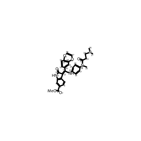 COC(=O)c1ccc2c(c1)NC(=O)C2=C(Nc1ccc(N(C)C(=O)CCN(C)C)cc1)c1ccc2c(c1)OC=CO2